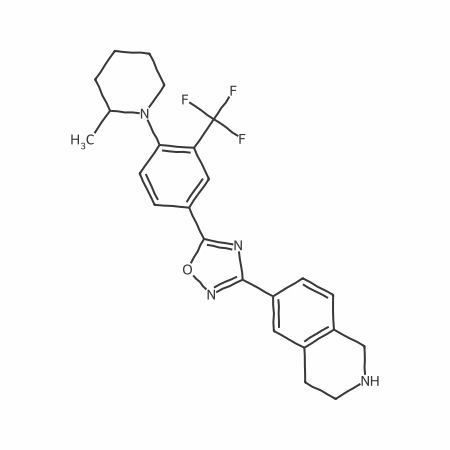 CC1CCCCN1c1ccc(-c2nc(-c3ccc4c(c3)CCNC4)no2)cc1C(F)(F)F